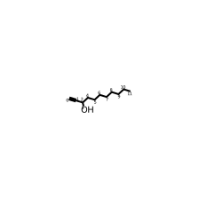 C#CC(O)CCCCCCCC